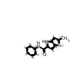 Cc1cc2[nH]c(C(=O)Nc3ccccc3)cc2s1